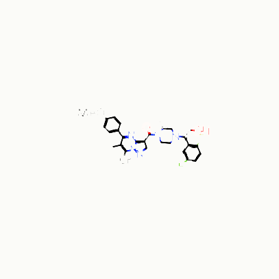 COc1ccc(-c2nc3c(C(=O)N4CCN([C@H](CO)c5cc(F)ccc5F)C[C@H]4C)cnn3c(C(F)(F)F)c2C)cc1